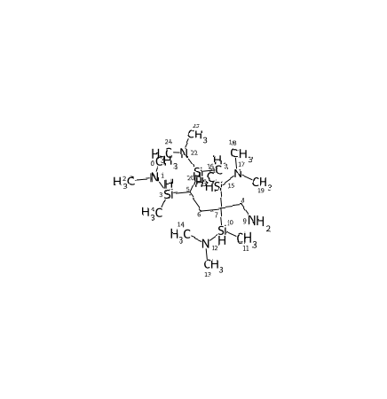 CN(C)[SiH](C)[C](CC(CN)([SiH](C)N(C)C)[SiH](C)N(C)C)[SiH](C)N(C)C